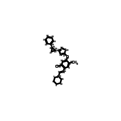 Cc1cc(N=CN2CCCCC2)c(Cl)cc1Oc1nc([C@@H]2C[C@H]2c2ccccc2)ns1